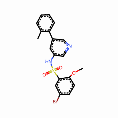 COc1ccc(Br)cc1S(=O)(=O)Nc1cncc(-c2ccccc2C)c1